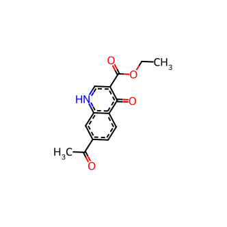 CCOC(=O)c1c[nH]c2cc(C(C)=O)ccc2c1=O